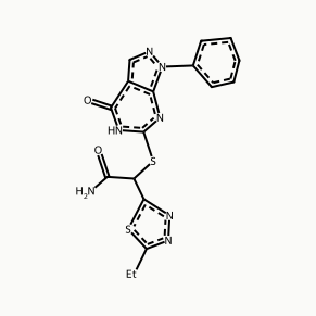 CCc1nnc(C(Sc2nc3c(cnn3-c3ccccc3)c(=O)[nH]2)C(N)=O)s1